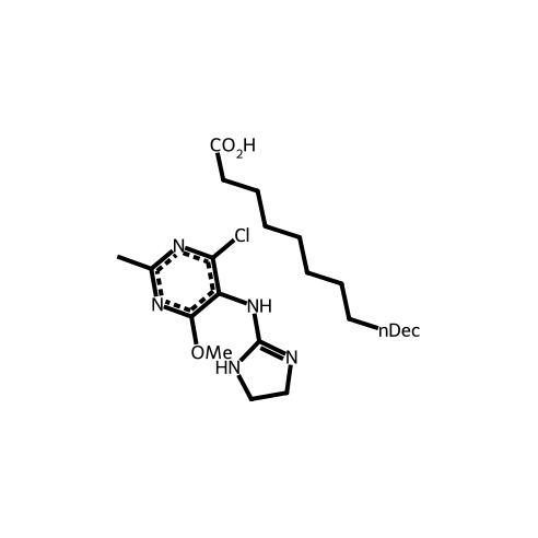 CCCCCCCCCCCCCCCCCC(=O)O.COc1nc(C)nc(Cl)c1NC1=NCCN1